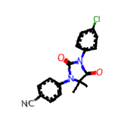 CC1(C)C(=O)N(c2ccc(Cl)cc2)C(=O)N1c1ccc(C#N)cc1